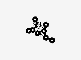 c1ccc(-c2ccc3c(c2)c2cc4c5ccccc5n(-c5nc(-c6ccc7ccccc7c6)c6sc7ccccc7c6n5)c4c4c5ccccc5n3c24)cc1